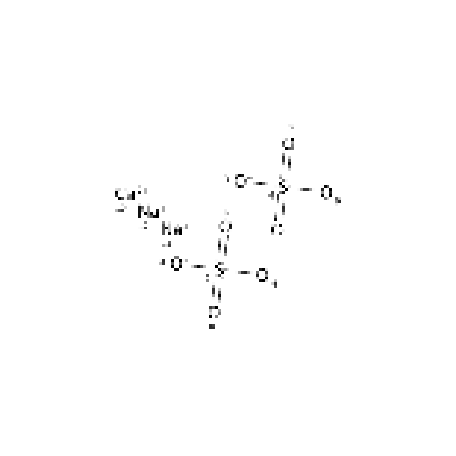 O=S(=O)([O-])[O-].O=S(=O)([O-])[O-].[Ca+2].[Na+].[Na+]